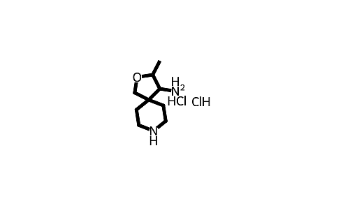 CC1OCC2(CCNCC2)C1N.Cl.Cl